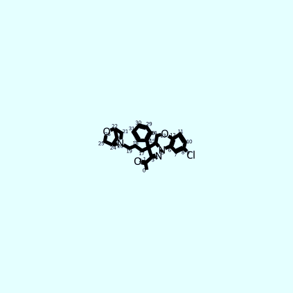 CC(=O)C1=NN2c3cc(Cl)ccc3OCC2C1(CCCN1CC2CC1CO2)c1ccccc1